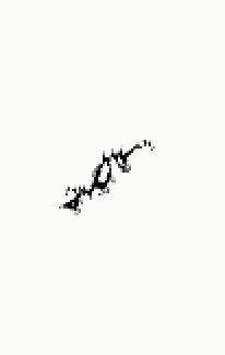 Cc1cc(CN2CCC(CNC3CC3)CC2)no1